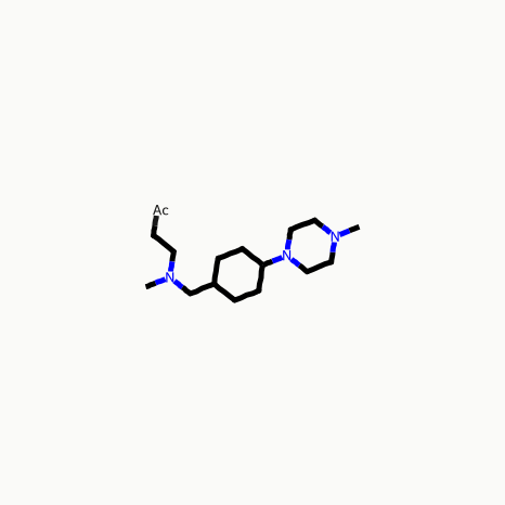 CC(=O)CCN(C)CC1CCC(N2CCN(C)CC2)CC1